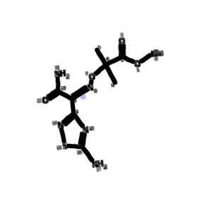 CC(C)(C)OC(=O)C(C)(C)O/N=C(\C(N)=O)c1nsc(N)n1